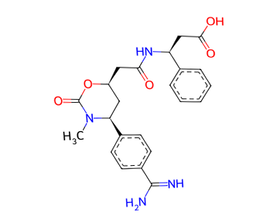 CN1C(=O)O[C@@H](CC(=O)N[C@@H](CC(=O)O)c2ccccc2)C[C@H]1c1ccc(C(=N)N)cc1